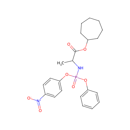 CC(NP(=O)(Oc1ccccc1)Oc1ccc([N+](=O)[O-])cc1)C(=O)OC1CCCCCC1